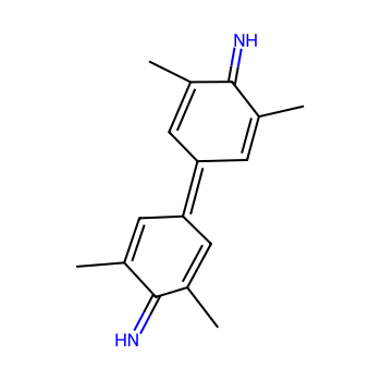 CC1=CC(=C2C=C(C)C(=N)C(C)=C2)C=C(C)C1=N